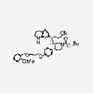 COc1ccccc1COCCCOc1ccc([C@H]2CCN(C(=O)OC(C)(C)C)C[C@@H]2OC(CCCC#N)c2ccc3c(c2)NCCC3)cc1